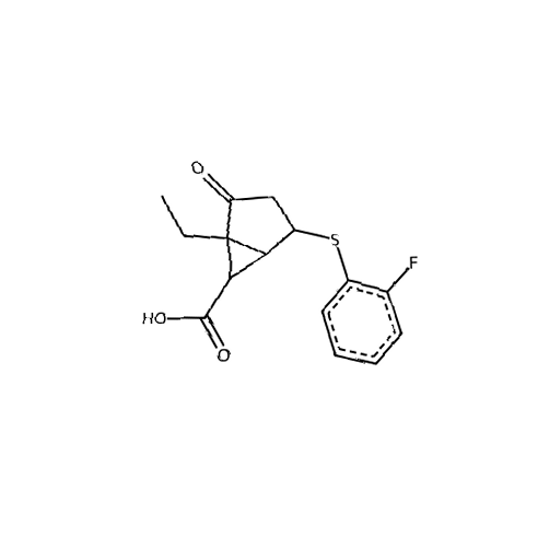 CCC12C(=O)CC(Sc3ccccc3F)C1C2C(=O)O